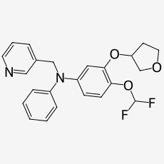 FC(F)Oc1ccc(N(Cc2cccnc2)c2ccccc2)cc1OC1CCOC1